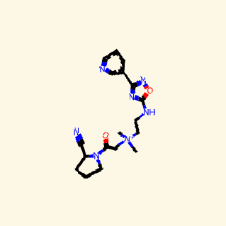 C[N+](C)(CCNc1nc(-c2cccnc2)no1)CC(=O)N1CCCC1C#N